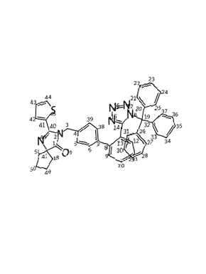 O=C1N(Cc2ccc(-c3ccccc3-c3nnnn3C(c3ccccc3)(c3ccccc3)c3ccccc3)cc2)C(c2cccs2)=NC12CCCC2